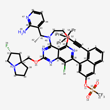 CC(C)[Si](C#Cc1cccc2cc(OS(=O)(=O)C(F)(F)F)cc(-c3nc4c5c(nc(OC[C@@]67CCCN6C[C@H](F)C7)nc5c3F)N([C@H](C)c3cccnc3N)CCO4)c12)(C(C)C)C(C)C